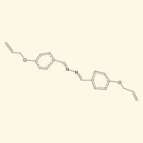 C=CCOc1ccc(/C=N/N=C/c2ccc(OCC=C)cc2)cc1